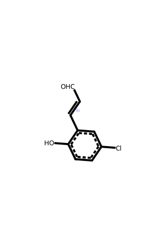 O=C/C=C/c1cc(Cl)ccc1O